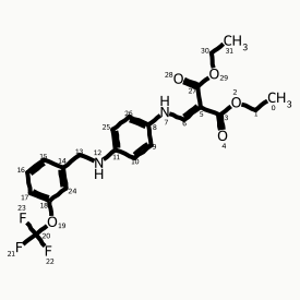 CCOC(=O)C(=CNc1ccc(NCc2cccc(OC(F)(F)F)c2)cc1)C(=O)OCC